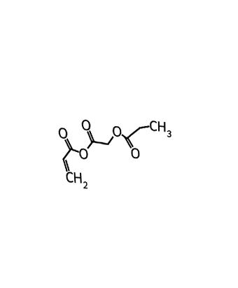 C=CC(=O)OC(=O)COC(=O)CC